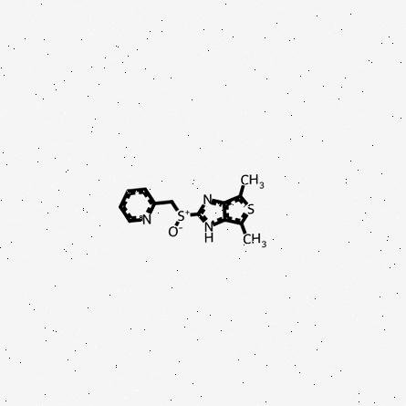 Cc1sc(C)c2[nH]c([S+]([O-])Cc3ccccn3)nc12